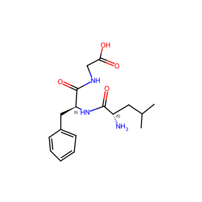 CC(C)C[C@H](N)C(=O)N[C@@H](Cc1ccccc1)C(=O)NCC(=O)O